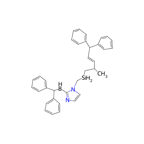 CC(C=CC(c1ccccc1)c1ccccc1)C[SiH2]Cn1ccnc1BC(c1ccccc1)c1ccccc1